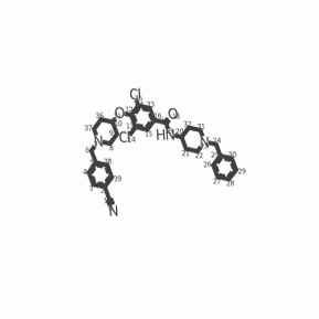 N#Cc1ccc(CN2CCC(Oc3c(Cl)cc(C(=O)NC4CCN(Cc5ccccc5)CC4)cc3Cl)CC2)cc1